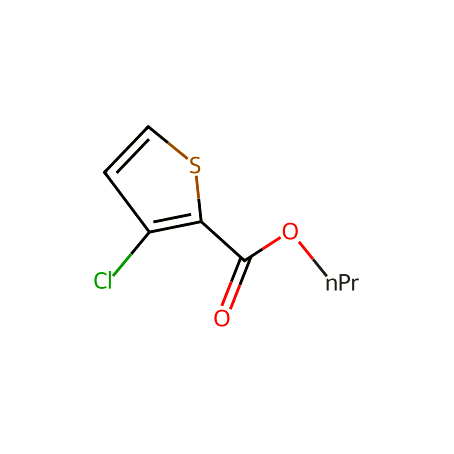 CCCOC(=O)c1sccc1Cl